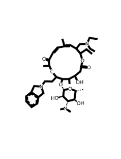 CCC1OC(=O)CC(O)C(C)C(O[C@@H]2O[C@H](C)[C@@H](O)[C@H](N(C)C)[C@H]2O)C(CCN2Cc3ccccc3C2)CC(C)C(=O)C=CC(C)=CC1CN(CC)CC